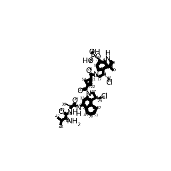 Cc1c[nH]c2c(OP(O)O)cc3c(c12)[C@H](CCl)CN3C(=O)C12CC(C(=O)N3C[C@@H](CCl)c4c3cc(NC(=O)[C@H](C)NC(=O)[C@@H](N)C(C)C)c3ccccc43)(C1)C2